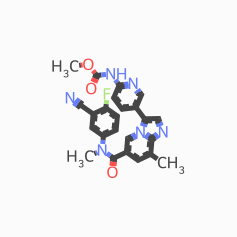 COC(=O)Nc1ccc(-c2cnc3c(C)cc(C(=O)N(C)c4ccc(F)c(C#N)c4)cn23)cn1